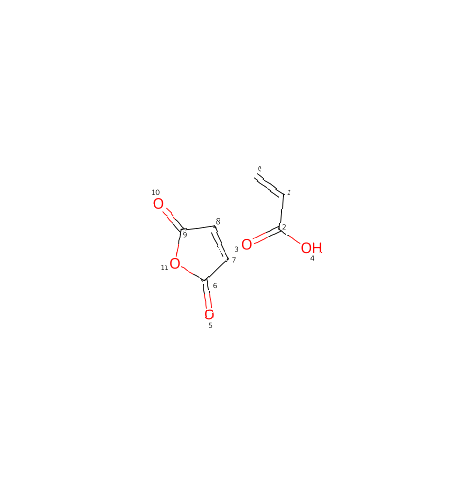 C=CC(=O)O.O=C1C=CC(=O)O1